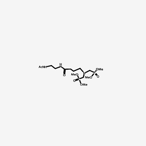 COP(=O)(CN(CCCC(=O)NCCNC(C)=O)CP(=O)(OC)OC)OC